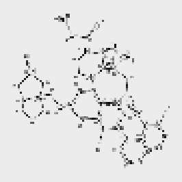 C#Cc1c(F)ccc2cccc(-c3nc4c5c(nc(OC[C@@]67CCCN6C[C@H](F)C7)nc5c3F)N3CCN(C(=O)OC(C)(C)C)[C@@H](CC)[C@@H]3[C@H](C)CC4)c12